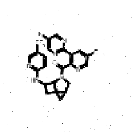 Cc1cnc(C(=O)N2CC3CC34CC(Nc3ccc(C(F)(F)F)cn3)C24)c(-c2ncc(F)cn2)c1